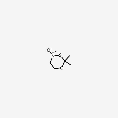 CC1(C)OCC[NH+]([O-])S1